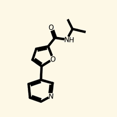 CC(C)NC(=O)c1ccc(-c2cccnc2)o1